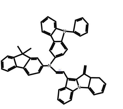 C=C1c2c(/C=C/N(c3ccc4c(c3)C(C)(C)c3ccccc3-4)c3ccc4c(c3)c3ccccc3n4-c3ccccc3)c3ccccc3n2C2=CC=CCC12